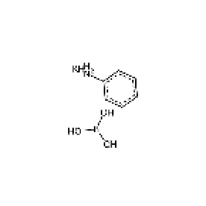 Nc1ccccc1.OB(O)O.[KH]